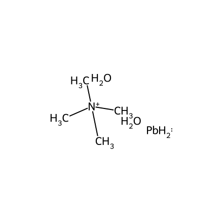 C[N+](C)(C)C.O.O.[PbH2]